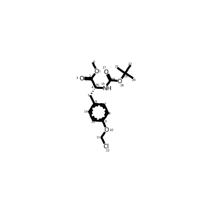 COC(=O)[C@@H](Cc1ccc(OCCl)cc1)NC(=O)OC(C)(C)C